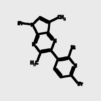 CCc1nc(C(C)C)ccc1-c1nc2c(C)cn(C(C)C)c2nc1C